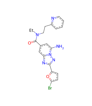 CCN(CCc1ccccn1)C(=O)c1cc(N)n2nc(-c3ccc(Br)o3)nc2c1